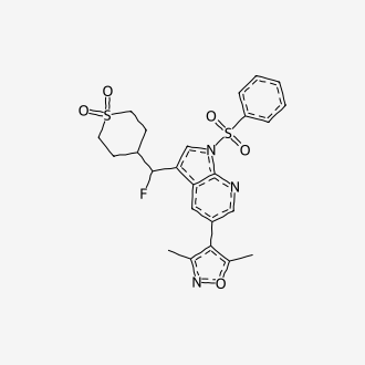 Cc1noc(C)c1-c1cnc2c(c1)c(C(F)C1CCS(=O)(=O)CC1)cn2S(=O)(=O)c1ccccc1